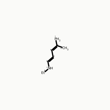 CCN/C=C/C=C(\C)P